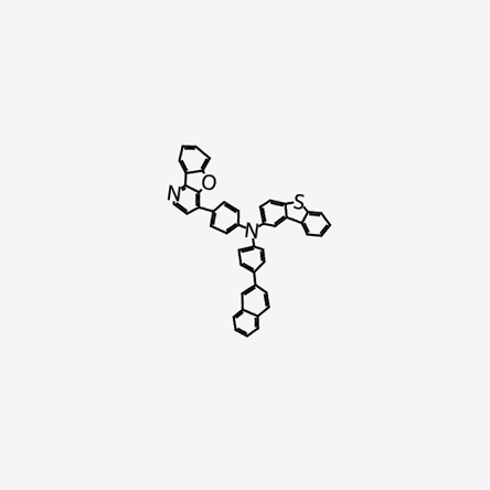 c1ccc2cc(-c3ccc(N(c4ccc(-c5ccnc6c5oc5ccccc56)cc4)c4ccc5sc6ccccc6c5c4)cc3)ccc2c1